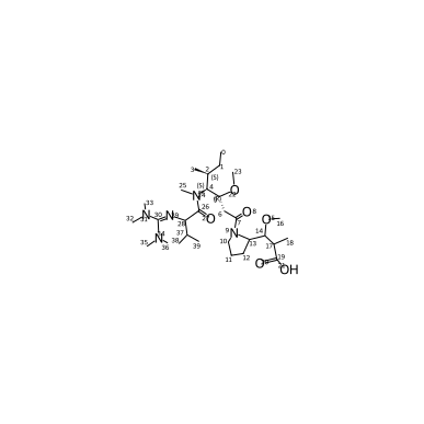 CC[C@H](C)[C@@H]([C@@H](CC(=O)N1CCCC1C(OC)C(C)C(=O)O)OC)N(C)C(=O)C(N=C(N(C)C)N(C)C)C(C)C